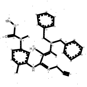 C#CC/N=C(Nc1cc(N(C)C(=O)OC(C)(C)C)ccc1C)\C(N)=C(/C)N(Cc1ccccc1)Cc1ccccc1